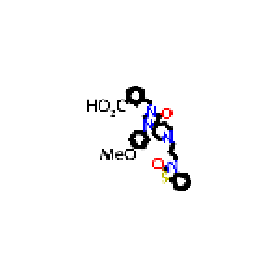 COC1=CCC(N2CN(Cc3cccc(C(=O)O)c3)C(=O)C23CCN(CCCn2c(=O)sc4ccccc42)CC3)C=C1